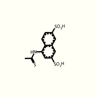 CC(=S)Nc1cc(S(=O)(=O)O)cc2cc(S(=O)(=O)O)ccc12